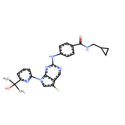 CC(C)(O)c1cccc(-n2cc(F)c3cnc(Nc4ccc(C(=O)NCC5CC5)cc4)nc32)n1